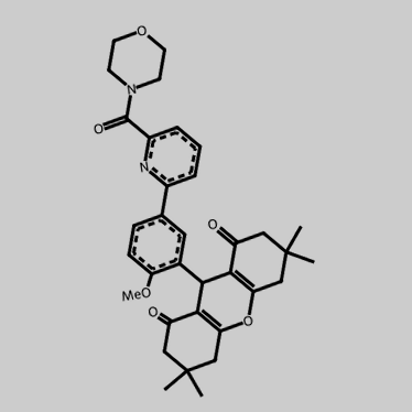 COc1ccc(-c2cccc(C(=O)N3CCOCC3)n2)cc1C1C2=C(CC(C)(C)CC2=O)OC2=C1C(=O)CC(C)(C)C2